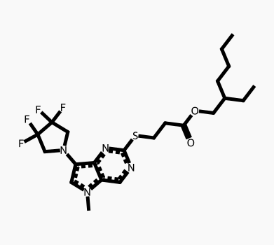 CCCCC(CC)COC(=O)CCSc1ncc2c(n1)c(N1CC(F)(F)C(F)(F)C1)cn2C